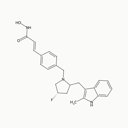 Cc1[nH]c2ccccc2c1CC1C[C@H](F)CN1Cc1ccc(/C=C/C(=O)NO)cc1